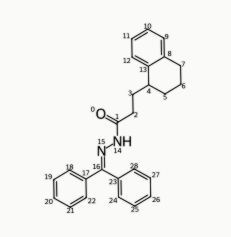 O=C(CCC1CCCc2ccccc21)NN=C(c1ccccc1)c1ccccc1